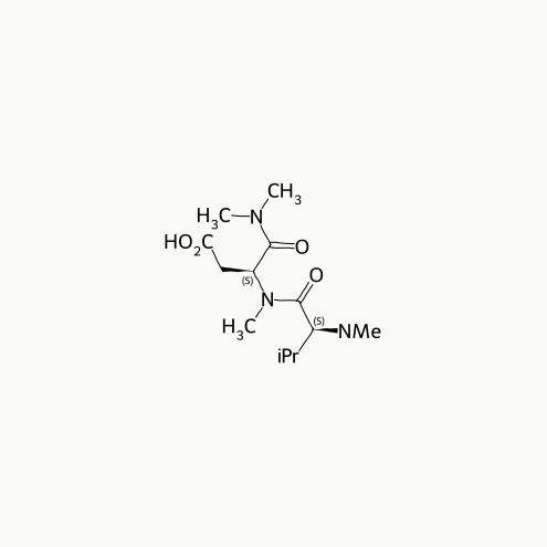 CN[C@H](C(=O)N(C)[C@@H](CC(=O)O)C(=O)N(C)C)C(C)C